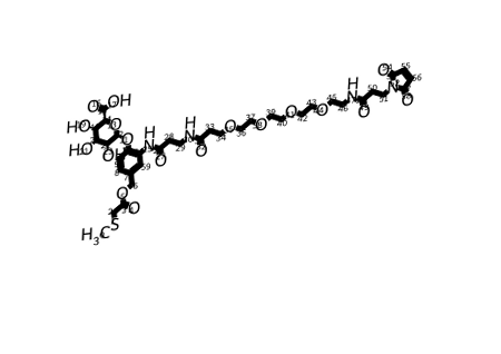 CSCC(=O)OCc1ccc(O[C@@H]2O[C@H](C(=O)O)[C@@H](O)[C@H](O)[C@H]2O)c(NC(=O)CCNC(=O)CCOCCOCCOCCOCCNC(=O)CCN2C(=O)C=CC2=O)c1